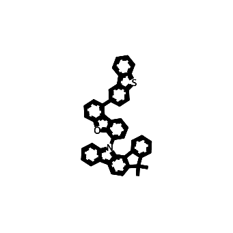 CC1(C)c2ccccc2-c2c1ccc1c3ccccc3n(-c3cccc4c3oc3cccc(-c5ccc6sc7ccccc7c6c5)c34)c21